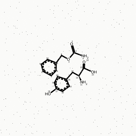 NC(=O)OCc1ccccc1.N[C@@H](Cc1ccc(O)cc1)C(=O)O